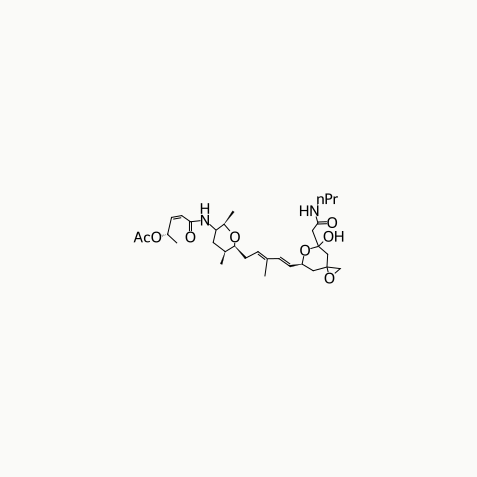 CCCNC(=O)CC1(O)CC2(CO2)C[C@@H](/C=C/C(C)=C/C[C@@H]2O[C@H](C)C(NC(=O)/C=C\[C@H](C)OC(C)=O)C[C@@H]2C)O1